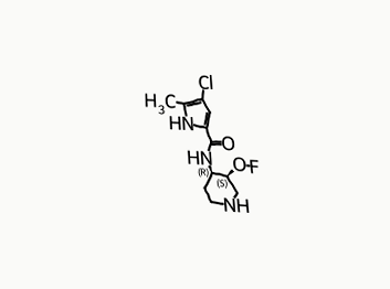 Cc1[nH]c(C(=O)N[C@@H]2CCNC[C@@H]2OF)cc1Cl